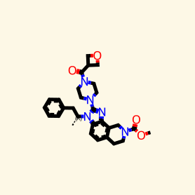 COC(=O)N1CCc2ccc3c(nc(N4CCN(C(=O)C5COC5)CC4)n3[C@H](C)Cc3ccccc3)c2C1